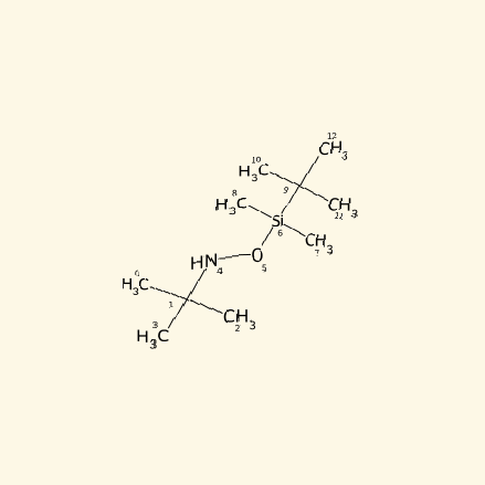 CC(C)(C)NO[Si](C)(C)C(C)(C)C